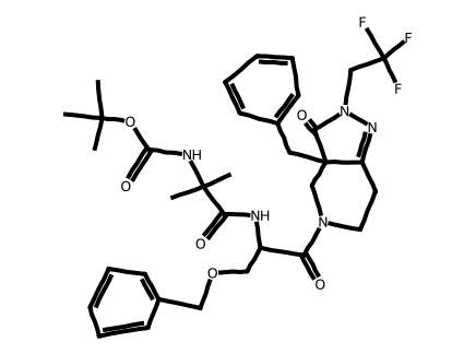 CC(C)(C)OC(=O)NC(C)(C)C(=O)NC(COCc1ccccc1)C(=O)N1CCC2=NN(CC(F)(F)F)C(=O)C2(Cc2ccccc2)C1